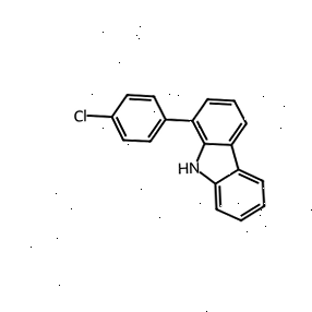 Clc1ccc(-c2cccc3c2[nH]c2ccccc23)cc1